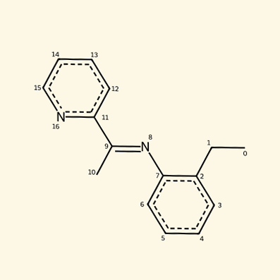 CCc1ccccc1/N=C(\C)c1ccccn1